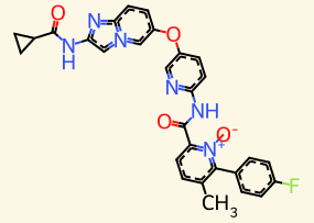 Cc1ccc(C(=O)Nc2ccc(Oc3ccc4nc(NC(=O)C5CC5)cn4c3)cn2)[n+]([O-])c1-c1ccc(F)cc1